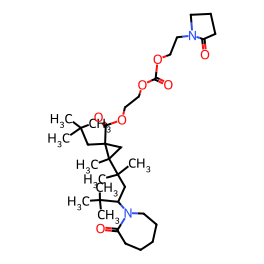 CC(C)(C)CC1(C(=O)OCCOC(=O)OCCN2CCCC2=O)CC1(C)C(C)(C)CC(N1CCCCCC1=O)C(C)(C)C